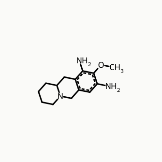 COc1c(N)cc2c(c1N)CC1CCCCN1C2